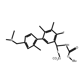 CCOC(=O)CC(NC(=O)OC(C)(C)C)c1cc(-c2ccc(CN(C)C)cc2C)c(C)c(C)c1F